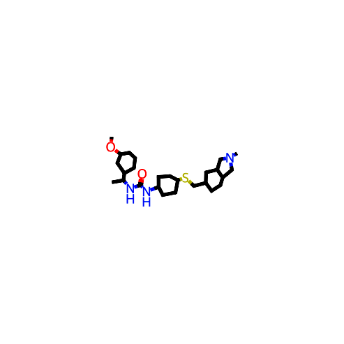 COC1CCCC(C(C)NC(=O)NC2CCC(SCC3CCC4CN(C)CC4C3)CC2)C1